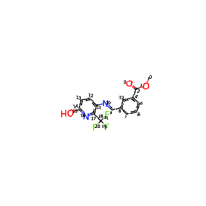 COC(=O)c1cccc(C=Nc2ccc(O)nc2C(F)(F)F)c1